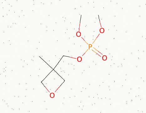 COP(=O)(OC)OCC1(C)COC1